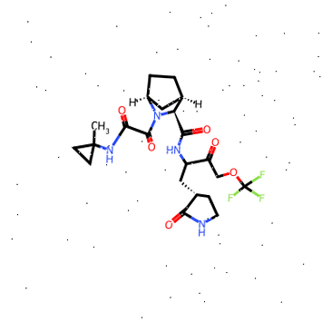 CC1(NC(=O)C(=O)N2[C@H]3CC[C@H](C3)[C@H]2C(=O)NC(C[C@@H]2CCNC2=O)C(=O)COC(F)(F)F)CC1